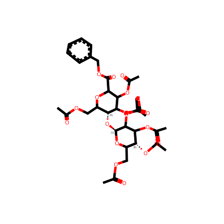 CC(=O)OCC1OC(C(=O)OCc2ccccc2)C(OC(C)=O)C(OC(C)=O)[C@@H]1O[C@@H]1OC(COC(C)=O)[C@@H](OC(C)=O)C(OC(C)=O)C1OC(C)=O